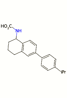 CC(C)c1ccc(-c2ccc3c(c2)CCCC3NC(=O)O)cc1